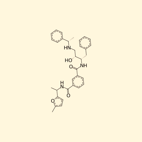 Cc1ccc(C(C)NC(=O)c2cccc(C(=O)N[C@@H](Cc3ccccc3)[C@H](O)CN[C@@H](C)c3ccccc3)c2)o1